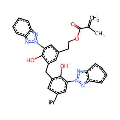 C=C(C)C(=O)OCCc1cc(Cc2cc(C(C)C)cc(-n3nc4ccccc4n3)c2O)c(O)c(-n2nc3ccccc3n2)c1